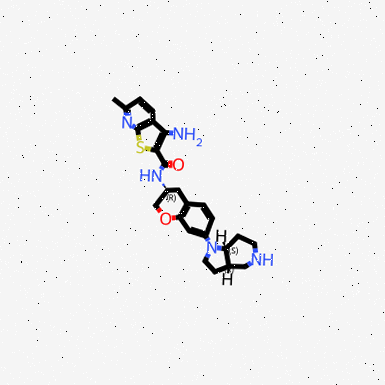 Cc1ccc2c(N)c(C(=O)N[C@H]3COc4cc(N5CC[C@@H]6CNCC[C@@H]65)ccc4C3)sc2n1